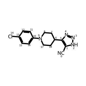 N#Cc1[nH]nnc1C1CCN(c2ccc(Cl)cc2)CC1